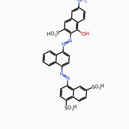 Nc1ccc2c(O)c(N=Nc3ccc(N=Nc4ccc(S(=O)(=O)O)c5ccc(S(=O)(=O)O)cc45)c4ccccc34)c(S(=O)(=O)O)cc2c1